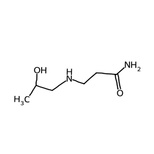 CC(O)CNCCC(N)=O